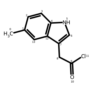 Cc1ccc2[nH]cc(CC(=O)Cl)c2c1